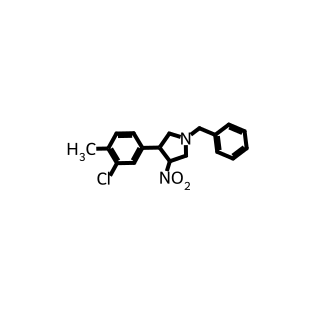 Cc1ccc(C2CN(Cc3ccccc3)CC2[N+](=O)[O-])cc1Cl